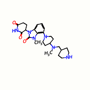 CN(CC1CCNCC1)C1CCN(c2cccc3c2n(C)c(=O)n3C2CCC(=O)NC2=O)CC1